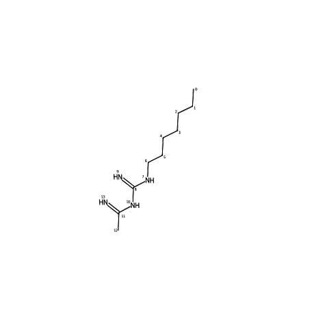 CCCCCCCNC(=N)NC(C)=N